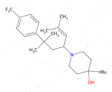 CCCCC1(O)CCN(C(C=C(C)C)CC(C)(C)c2ccc(C(F)(F)F)cc2)CC1